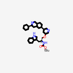 CC(C)(C)OC(=O)N[C@H](COc1cncc(-c2ccc3cnc(-c4ccccc4)cc3c2)c1)Cc1c[nH]c2ccccc12